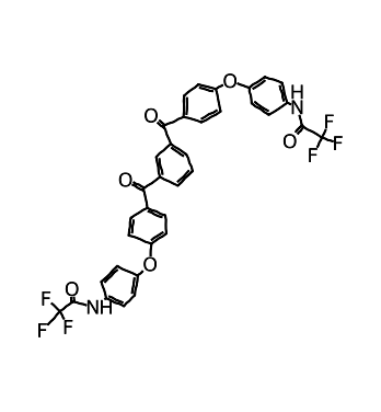 O=C(c1ccc(Oc2ccc(NC(=O)C(F)(F)F)cc2)cc1)c1cccc(C(=O)c2ccc(Oc3ccc(NC(=O)C(F)(F)F)cc3)cc2)c1